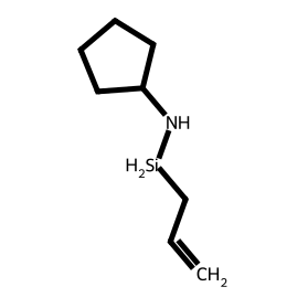 C=CC[SiH2]NC1CCCC1